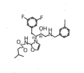 CC(C)CS(=O)(=O)NC1OC=CN1[C@@H](Cc1cc(F)cc(F)c1)[C@H](O)CNCc1cccc(I)c1